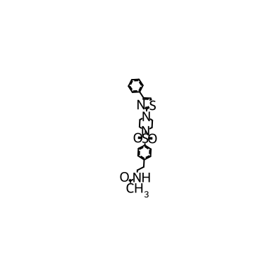 CC(=O)NCCc1ccc(S(=O)(=O)N2CCN(c3nc(-c4ccccc4)cs3)CC2)cc1